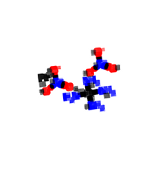 O=[N+]([O-])[O-].O=[N+]([O-])[O-].[NH2][Pt]([NH2])([NH2])[NH2].[Pt+2]